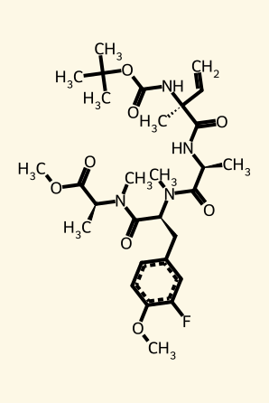 C=C[C@](C)(NC(=O)OC(C)(C)C)C(=O)N[C@@H](C)C(=O)N(C)[C@@H](Cc1ccc(OC)c(F)c1)C(=O)N(C)[C@@H](C)C(=O)OC